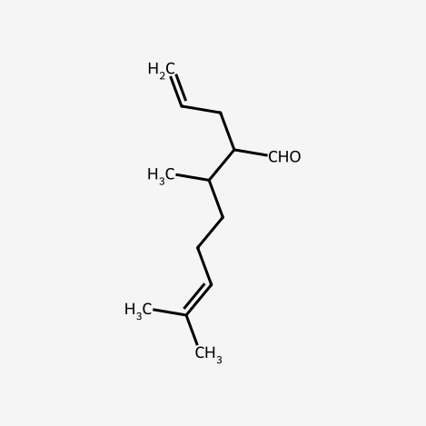 C=CCC(C=O)C(C)CCC=C(C)C